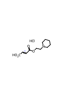 Cl.O=C(O)/C=C/C(=O)OCCN1CCCCC1